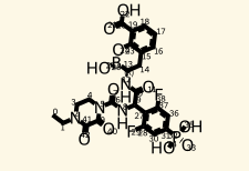 CCN1CCN(C(=O)NC(C(=O)N[C@H]2Cc3cccc(C(=O)O)c3OB2O)c2c(F)cc(P(=O)(O)O)cc2F)C(=O)C1=O